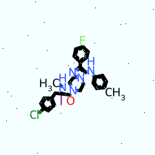 CN[C@](I)(Cc1ccc(Cl)cc1)C(=O)N1CCn2c(nc(-c3ccc(F)cc3)c2Nc2ccc(C)cc2)C1